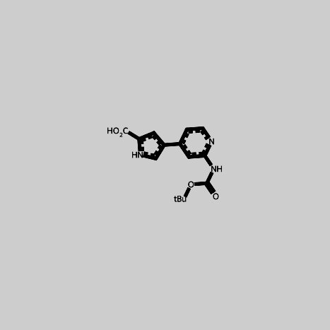 CC(C)(C)OC(=O)Nc1cc(-c2c[nH]c(C(=O)O)c2)ccn1